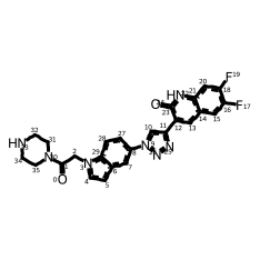 O=C(Cn1ccc2cc(-n3cc(-c4cc5cc(F)c(F)cc5[nH]c4=O)nn3)ccc21)N1CCNCC1